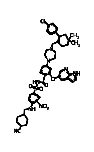 CC1(C)CCC(CN2CCN(c3ccc(C(=O)NS(=O)(=O)c4ccc(NCC5CCC(C#N)CC5)c([N+](=O)[O-])c4)c(Oc4cnc5[nH]ccc5c4)c3)CC2)=C(c2ccc(Cl)cc2)C1